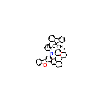 CC1(C)c2ccccc2-c2cccc(-c3cccc(N(c4ccc5oc6ccccc6c5c4)c4ccccc4-c4cccc5cccc(C6CCCCC6)c45)c3)c21